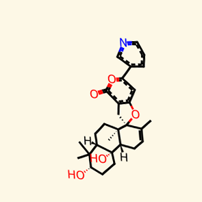 CC1=CC[C@@H]2[C@@]3(O)CC[C@H](O)C(C)(C)[C@@H]3CC[C@@]2(C)[C@]12Cc1c(cc(-c3cccnc3)oc1=O)O2